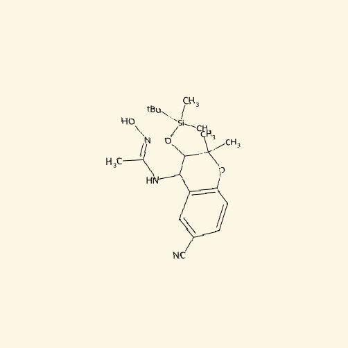 CC(=NO)NC1c2cc(C#N)ccc2OC(C)(C)C1O[Si](C)(C)C(C)(C)C